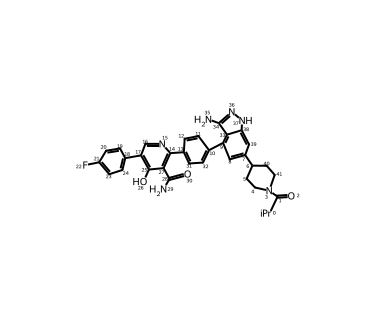 CC(C)C(=O)N1CCC(c2cc(-c3ccc(-c4ncc(-c5ccc(F)cc5)c(O)c4C(N)=O)cc3)c3c(N)n[nH]c3c2)CC1